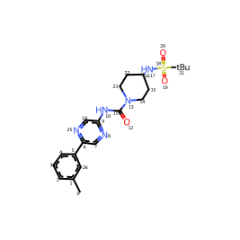 Cc1cccc(-c2cnc(NC(=O)N3CCC(NS(=O)(=O)C(C)(C)C)CC3)cn2)c1